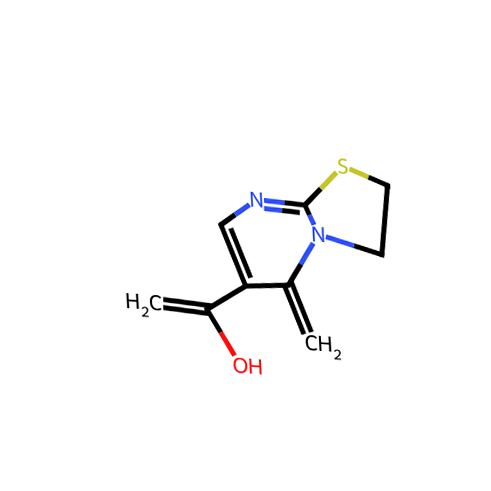 C=C(O)C1=CN=C2SCCN2C1=C